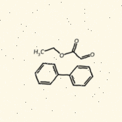 CCOC(=O)C=O.c1ccc(-c2ccccc2)cc1